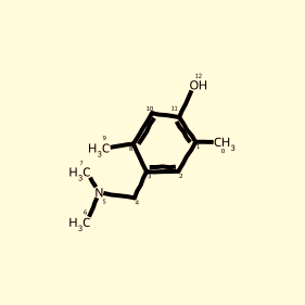 Cc1cc(CN(C)C)c(C)cc1O